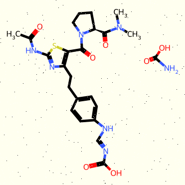 CC(=O)Nc1nc(CCc2ccc(NC=NC(=O)O)cc2)c(C(=O)N2CCC[C@H]2C(=O)N(C)C)s1.NC(=O)O